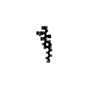 NC(CS)C(=O)Nc1ccc(CCCCI)cc1